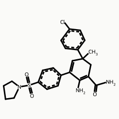 CC1(c2ccc(Cl)cc2)C=C(c2ccc(S(=O)(=O)N3CCCC3)cc2)C(N)=C(C(N)=O)C1